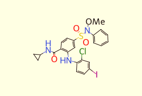 CON(c1ccccc1)S(=O)(=O)c1ccc(C(=O)NC2CC2)c(Nc2ccc(I)cc2Cl)c1